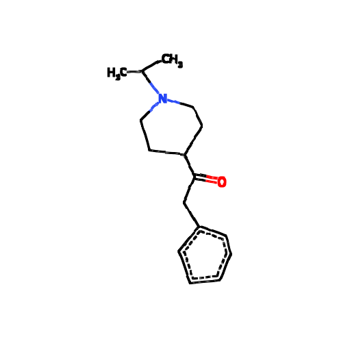 CC(C)N1CCC(C(=O)Cc2ccccc2)CC1